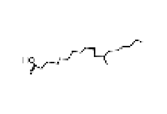 C=C(O)CCCCCCC/C=C\CC(C)CCCCCC